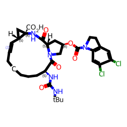 CC(C)(C)NC(=O)N[C@H]1CCCCC/C=C\[C@@H]2C[C@@]2(C(=O)O)NC(=O)[C@@H]2C[C@@H](OC(=O)N3CCc4cc(Cl)c(Cl)cc43)CN2C1=O